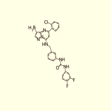 Bc1cnn2c(NCc3cccc(NC(=O)Nc4ccc(F)c(F)c4)c3)cc(-c3ccccc3Cl)nc12